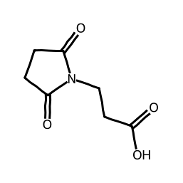 O=C(O)CCN1C(=O)CCC1=O